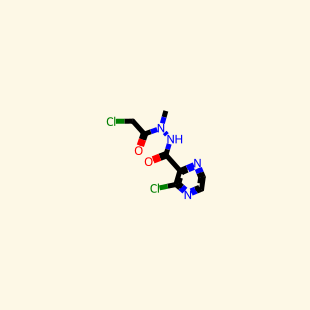 CN(NC(=O)c1nccnc1Cl)C(=O)CCl